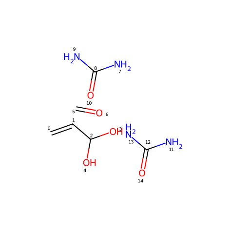 C=CC(O)O.C=O.NC(N)=O.NC(N)=O